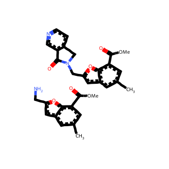 COC(=O)c1cc(C)cc2cc(CN)oc12.COC(=O)c1cc(C)cc2cc(CN3Cc4ccncc4C3=O)oc12